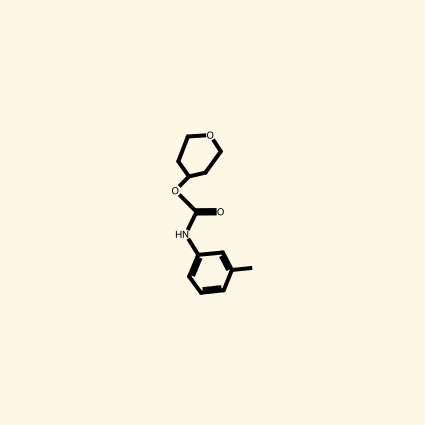 Cc1cccc(NC(=O)OC2CCOCC2)c1